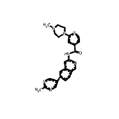 Cc1ncc(-c2ccc3cnc(NC(=O)c4ccnc(N5CCN(C)CC5)c4)cc3c2)cn1